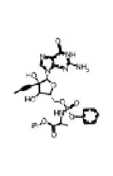 CC#C[C@@]1(O)C(O)[C@@H](COP(=O)(N[C@@H](C)C(=O)OC(C)C)Oc2ccccc2)O[C@H]1n1cnc2c(=O)[nH]c(N)nc21